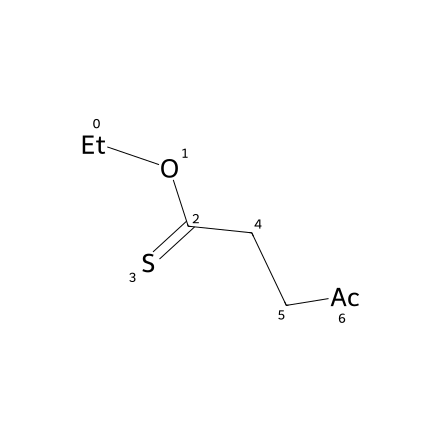 CCOC(=S)CCC(C)=O